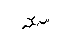 C=CCC(O/N=C/Cl)C(C)C